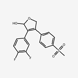 CS(=O)(=O)c1ccc(C2=C(c3ccc(F)c(F)c3)C(O)OC2)cc1